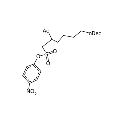 CCCCCCCCCCCCCCC(CS(=O)(=O)Oc1ccc([N+](=O)[O-])cc1)C(C)=O